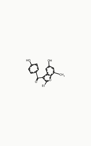 CCc1oc2c(C)cc(O)cc2c1C(=O)c1ccc(O)cc1